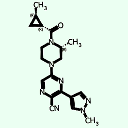 C[C@@H]1C[C@H]1C(=O)N1CCN(c2cnc(C#N)c(-c3cnn(C)c3)n2)C[C@H]1C